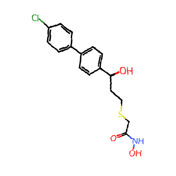 O=C(CSCCC(O)c1ccc(-c2ccc(Cl)cc2)cc1)NO